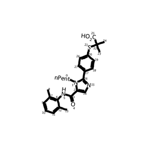 CCCCCn1c(C(=O)Nc2c(C)cccc2C)cnc1-c1ccc(SC(C)(C)C(=O)O)cc1